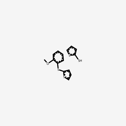 COc1ccccc1Sc1cccs1.Sc1cccs1